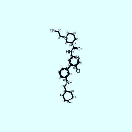 O=C(Nc1cc(-c2cccc(NCC3CCOCC3)c2)c(Cl)cn1)[C@@H]1CCCN(CCF)C1